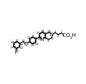 O=C(O)CCCN1CCc2nc(-c3ccc(OCc4cccc(F)c4)cc3)ccc2C1